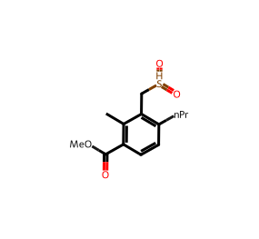 CCCc1ccc(C(=O)OC)c(C)c1C[SH](=O)=O